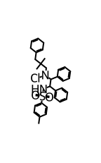 Cc1ccc(S(=O)(=O)NC(c2ccccc2)C(c2ccccc2)N(Cl)CC(C)(C)CC2=CCC=CC2)cc1